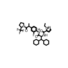 CCn1nccc1C(=O)NC(C(=O)Nc1ccc(C(C)C(=O)N2CCCC2C(F)(F)F)cc1F)C(C1CCCCC1)C1CCCCC1